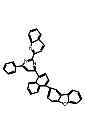 c1ccc(-c2cc(-c3ccc(-c4ccc5oc6ccccc6c5c4)c4ccccc34)nc(-c3ccc4ccccc4n3)n2)cc1